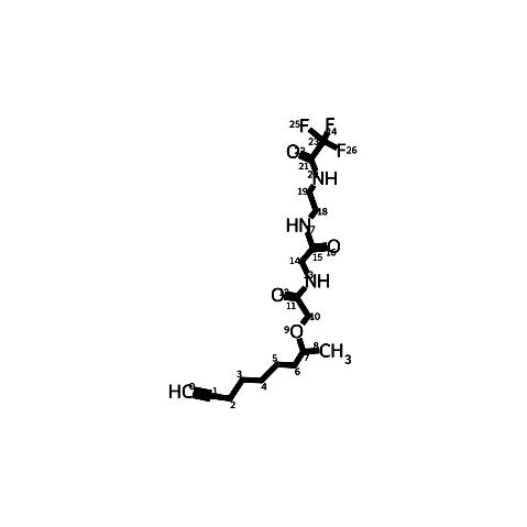 C#CCCCCCC(C)OCC(=O)NCC(=O)NCCNC(=O)C(F)(F)F